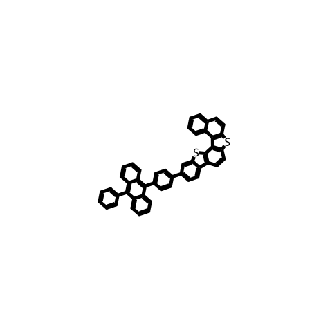 c1ccc(-c2c3ccccc3c(-c3ccc(-c4ccc5c(c4)sc4c5ccc5sc6ccc7ccccc7c6c54)cc3)c3ccccc23)cc1